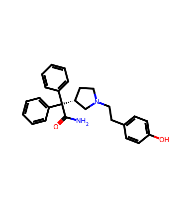 NC(=O)C(c1ccccc1)(c1ccccc1)[C@@H]1CCN(CCc2ccc(O)cc2)C1